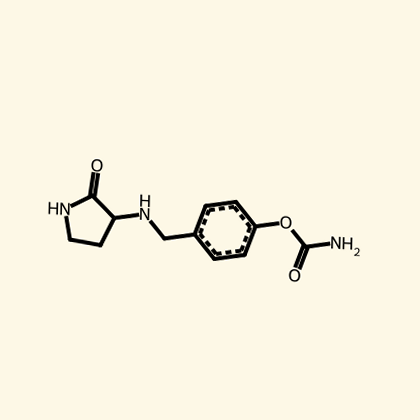 NC(=O)Oc1ccc(CNC2CCNC2=O)cc1